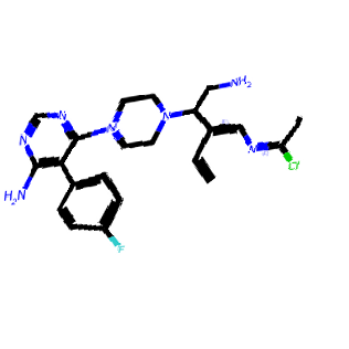 C=C/C(=C\N=C(/C)Cl)C(CN)N1CCN(c2ncnc(N)c2-c2ccc(F)cc2)CC1